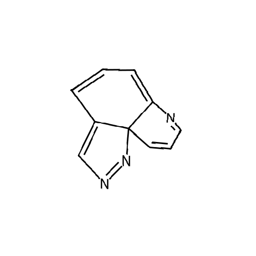 C1=CC2=CN=NC23C=CC=NC3=C1